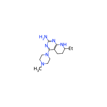 CCC1CCc2c(nc(N)nc2N2CCN(C)CC2)N1